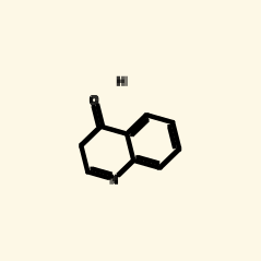 I.O=C1CC=Nc2ccccc21